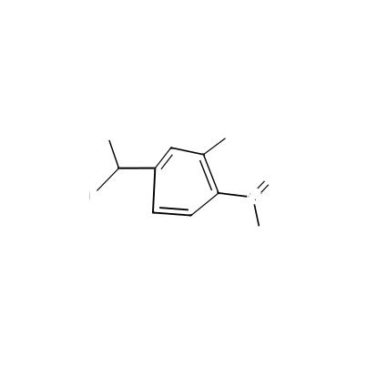 O=[N+]([O-])c1ccc(C(F)F)cc1Cl